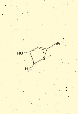 CCCC1=CC(O)N(C)S1